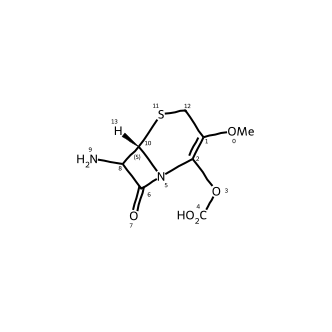 COC1=C(OC(=O)O)N2C(=O)C(N)[C@@H]2SC1